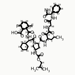 CCCC(NC(=O)[C@@H]1C[C@@H](NC(=O)OCC(C)C)CN1C(=O)[C@@H](NC(=O)c1c(F)ccc(F)c1C(=O)O)C1CCCCC1)C(=O)C(=O)NCC(=O)N[C@H](C(N)=O)c1ccccc1